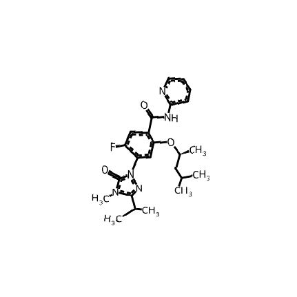 CC(C)C[C@H](C)Oc1cc(-n2nc(C(C)C)n(C)c2=O)c(F)cc1C(=O)Nc1ccccn1